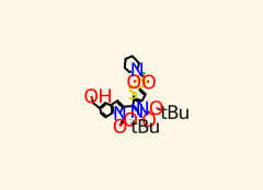 CC(C)(C)OC(=O)n1nc(-c2cc3cc(CO)ccc3n2C(=O)OC(C)(C)C)c2sc(S(=O)(=O)CN3CCCCC3)cc21